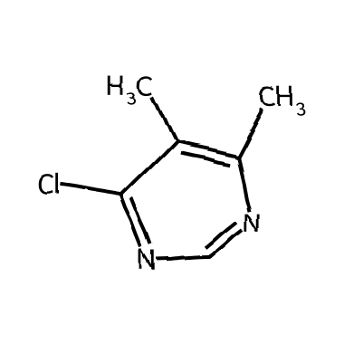 Cc1ncnc(Cl)c1C